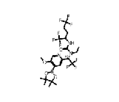 CCN(C(=O)NC(CCC(F)(F)F)C(F)(F)F)[C@@H](c1cc(B2OC(C)(C)C(C)(C)O2)c(OC)cn1)C(F)(F)F